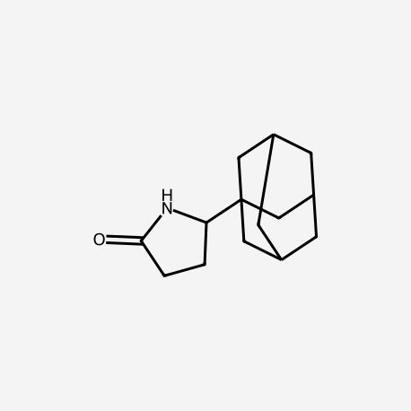 O=C1CCC(C23CC4CC(CC(C4)C2)C3)N1